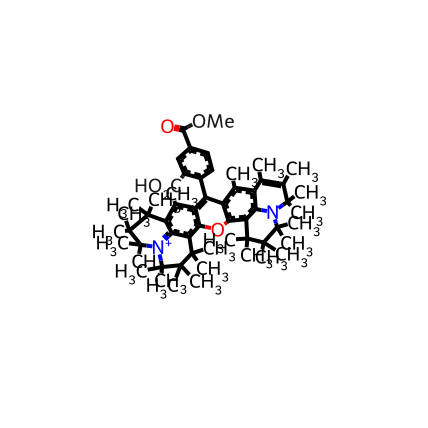 COC(=O)c1ccc(C2=c3c(C)c4c5c(c3Oc3c2c(C)c2c6c3C(C)(C)C(C)(C)C(C)(C)N6C(C)(C)C(C)=C2C)C(C)(C)C(C)(C)C(C)(C)[N+]=5C(C)(C)C(C)(C)C4(C)C)c(C(=O)O)c1